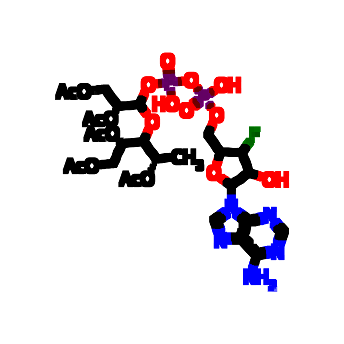 CC(=O)OC[C@@H](OC(C)=O)C(OC([C@H](C)OC(C)=O)[C@@H](COC(C)=O)OC(C)=O)OP(=O)(O)OP(=O)(O)OCC1OC(n2cnc3c(N)ncnc32)C(O)C1F